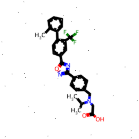 Cc1ccccc1-c1ccc(-c2nc(-c3ccc(CN(CC(=O)O)C(C)C)cc3)no2)cc1C(F)(F)F